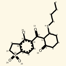 CCCCSC1CCCC(=O)C1C(=O)c1ccc2c(c1Cl)CCS2(=O)=O